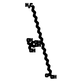 CCCCCCCCCCCCCCCCCCCCCCCCCCC(=O)O.OCC(CO)(CO)CO